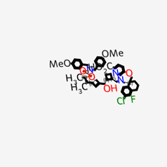 COc1ccc(CN(Cc2ccc(OC)cc2)S(=O)(=O)[C@H](C)[C@@H](C)[C@H]2C=C(C(O)[C@@H]3CC[C@H]3CN3C[C@@]4(CCCc5c4ccc(Cl)c5F)COc4ccc(C(=O)O)nc43)C2)cc1